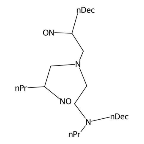 CCCCCCCCCCC(CN(CCN(CCC)CCCCCCCCCC)CC(CCC)N=O)N=O